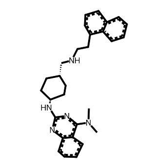 CN(C)c1nc(N[C@H]2CC[C@@H](CNCCc3cccc4ccccc34)CC2)nc2ccccc12